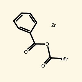 CCCC(=O)OC(=O)c1ccccc1.[Zr]